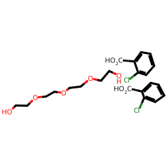 O=C(O)c1ccccc1Cl.O=C(O)c1ccccc1Cl.OCCOCCOCCOCCO